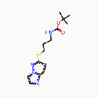 CC(C)(C)OC(=O)NCCCSc1ccc2nccn2n1